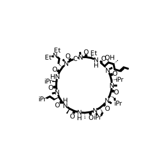 C/C=C/C[C@@H](C)[C@@H](O)[C@H]1C(=O)N[C@@H](CC)C(=O)N(C)CC(=O)N(C)[C@@H](CCN(CC)CC)C(=O)N[C@H](C(C)C)C(=O)N(C)[C@H](CCC(C)C)C(=O)N[C@H](C)C(=O)N[C@@H](C)C(=O)N(C)[C@@H](CC(C)C)C(=O)N(C)[C@@H](CC(C)C)C(=O)N(C)[C@@H](C(C)C)C(=O)N1C